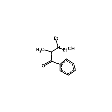 CCN(CC)C(C)C(=O)c1ccccc1.Cl